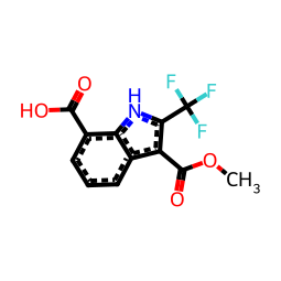 COC(=O)c1c(C(F)(F)F)[nH]c2c(C(=O)O)cccc12